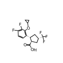 O=C(O)[C@@H]1C[C@@H](C(F)(F)F)C[C@H]1c1ccc(F)c(F)c1OC1CC1